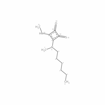 CCCCCCN(C)c1c(NC)c(=O)c1=S